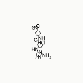 Cc1cc(Nc2cccc(C(=O)Nc3ccc([N+](=O)[O-])cc3)c2)nc(N)n1.Cl